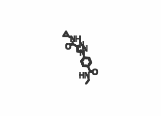 CCNC(=O)c1ccc(-n2cc(C(=O)NC3CC3)nn2)cc1